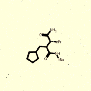 CCC[C@H](C(N)=O)C(CC1CCCC1)C(=O)NC(C)(C)C